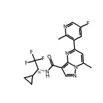 Cc1ncc(F)cc1-c1cc(C)n2ncc(C(=O)N[C@H](C3CC3)C(F)(F)F)c2n1